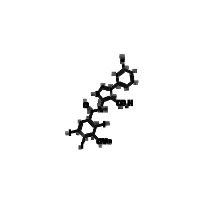 COc1c(I)c(I)cc(C(=O)Nc2scc(-c3cccc(F)c3)c2C(=O)O)c1I